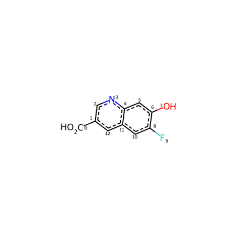 O=C(O)c1cnc2cc(O)c(F)cc2c1